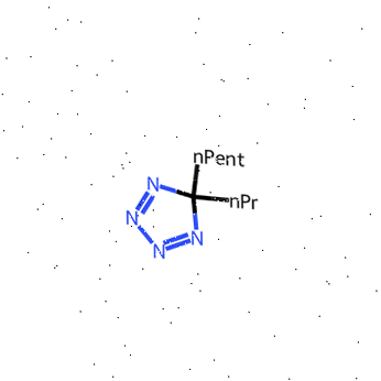 CCCCCC1(CCC)N=NN=N1